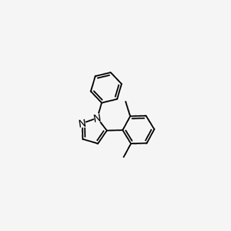 Cc1cccc(C)c1-c1ccnn1-c1ccccc1